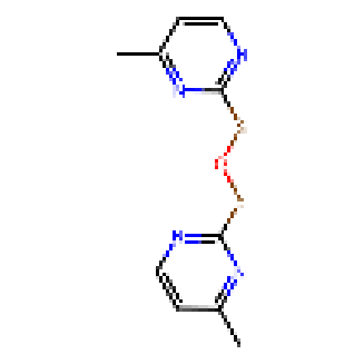 Cc1ccnc(SOSc2nccc(C)n2)n1